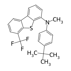 CN(c1ccc(C(C)(C)C)cc1)c1cccc2c1sc1c(C(F)(F)F)cccc12